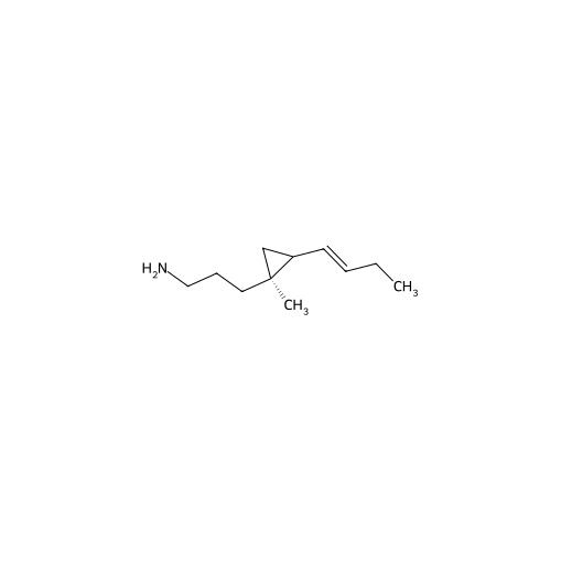 CC/C=C/C1C[C@]1(C)CCCN